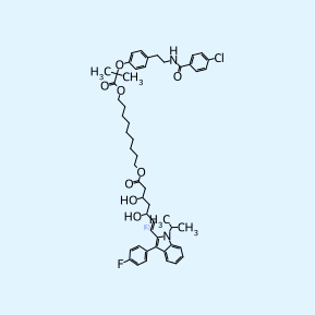 CC(C)n1c(/C=C/C(O)CC(O)CC(=O)OCCCCCCCCCOC(=O)C(C)(C)Oc2ccc(CCNC(=O)c3ccc(Cl)cc3)cc2)c(-c2ccc(F)cc2)c2ccccc21